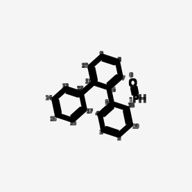 O=P.c1ccc(-c2ccccc2-c2ccccc2)cc1